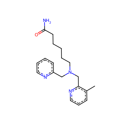 Cc1cccnc1CN(CCCCCC(N)=O)Cc1ccccn1